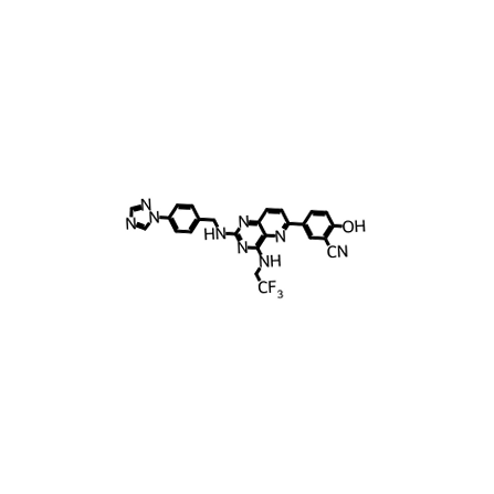 N#Cc1cc(-c2ccc3nc(NCc4ccc(-n5cncn5)cc4)nc(NCC(F)(F)F)c3n2)ccc1O